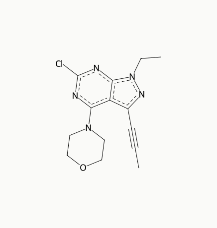 CC#Cc1nn(CC)c2nc(Cl)nc(N3CCOCC3)c12